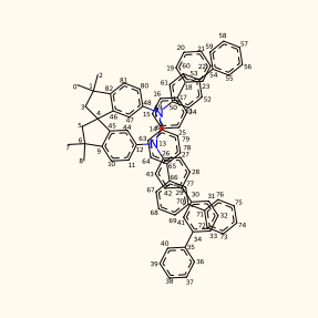 CC1(C)CC2(CC(C)(C)c3ccc(N(c4ccc(-c5ccccc5)cc4)c4ccc(-c5cccc(-c6ccccc6)c5)cc4)cc32)c2cc(N(c3ccc(-c4ccccc4)cc3)c3ccc(-c4cccc(-c5ccccc5)c4)cc3)ccc21